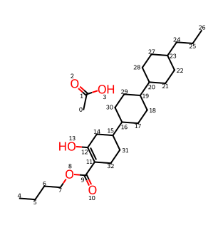 CC(=O)O.CCCCOC(=O)C1=C(O)CC(C2CCC(C3CCC(CCC)CC3)CC2)CC1